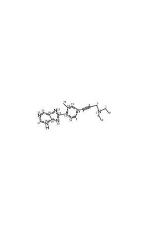 CCN(CC)CC#Cc1ccc(-c2nc3cnc[nH]c-3n2)c(C)c1